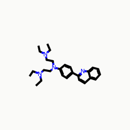 CCN(CC)CCN(CCN(CC)CC)c1ccc(-c2ccc3ccccc3n2)cc1